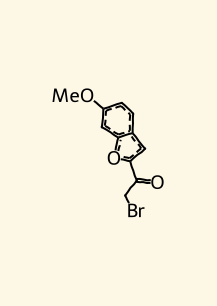 COc1ccc2cc(C(=O)CBr)oc2c1